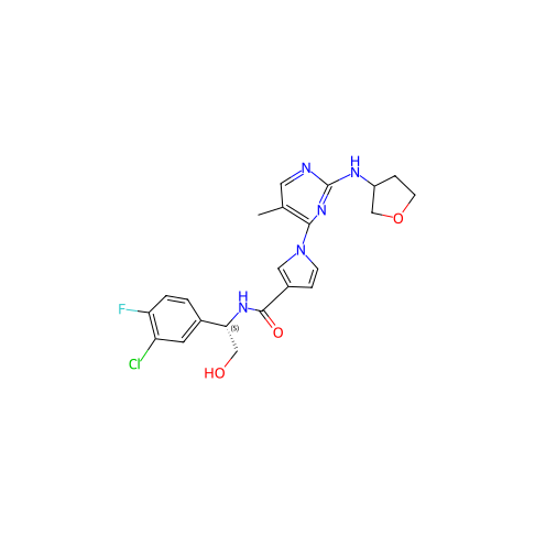 Cc1cnc(NC2CCOC2)nc1-n1ccc(C(=O)N[C@H](CO)c2ccc(F)c(Cl)c2)c1